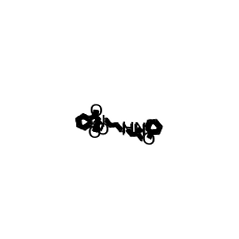 O=C1c2ccccc2S(=O)(=O)N1CCCCNCC1COc2ccccc2N1